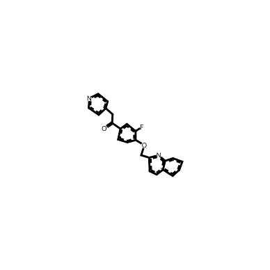 O=C(Cc1ccncc1)c1ccc(OCc2ccc3ccccc3n2)c(F)c1